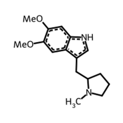 COc1cc2[nH]cc(CC3CCCN3C)c2cc1OC